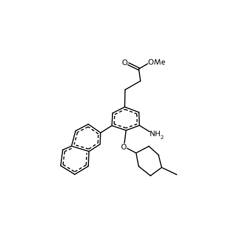 COC(=O)CCc1cc(N)c(OC2CCC(C)CC2)c(-c2ccc3ccccc3c2)c1